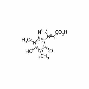 CN1C(=O)c2c(ncn2CC(=O)O)N(C)C1O